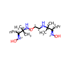 CCC/C(=N\O)C(C)(C)NCCONC(C)(C)/C(CCC)=N/O